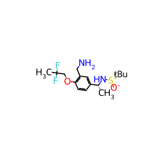 C[C@@H](N[S@+]([O-])C(C)(C)C)c1ccc(OCC(C)(F)F)c(CN)c1